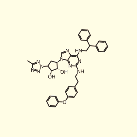 Cc1nnn(C2C[C@@H](n3cnc4c(NCC(c5ccccc5)c5ccccc5)nc(NCCc5ccc(Oc6ccccc6)cc5)nc43)[C@H](O)[C@H]2O)n1